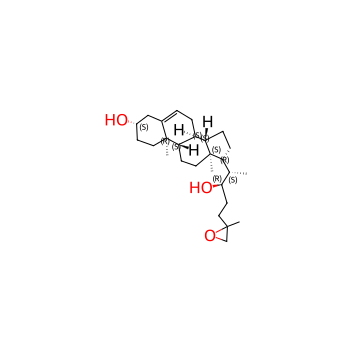 C[C@H]([C@H](O)CCC1(C)CO1)[C@H]1CC[C@H]2[C@@H]3CC=C4C[C@@H](O)CC[C@]4(C)[C@H]3CC[C@]12C